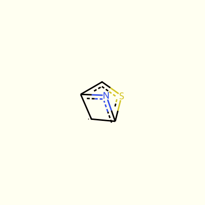 [CH]1c2csc1n2